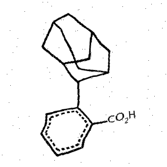 O=C(O)c1ccccc1C1C2CC3CC(C2)CC1C3